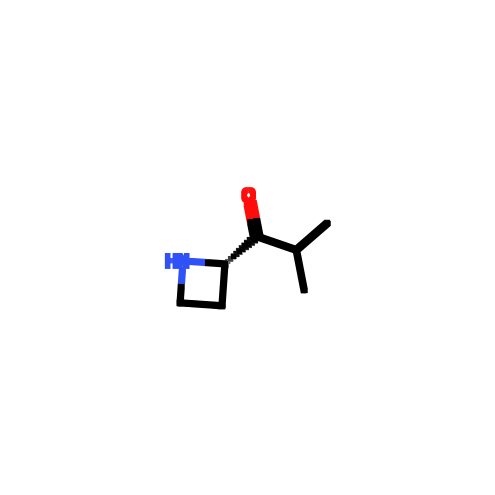 CC(C)C(=O)[C@@H]1CCN1